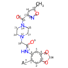 CC(=O)c1cc2c(cc1NC(=O)CN1CCN(C(=O)c3cc(C)on3)CC1)OCO2